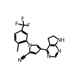 Cc1ccc(C(F)(F)F)cc1-n1cc(-c2ncnc3c2CCN3)cc1C#N